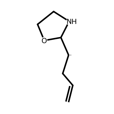 C=CC[CH]C1NCCO1